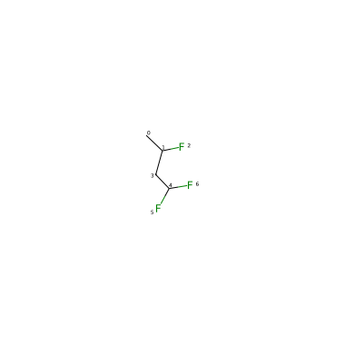 CC(F)CC(F)F